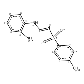 Cc1ccc(S(=O)(=O)N=CNc2ccccc2N)cc1